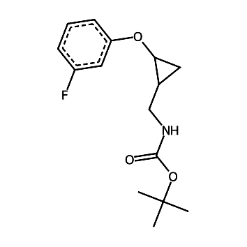 CC(C)(C)OC(=O)NCC1CC1Oc1cccc(F)c1